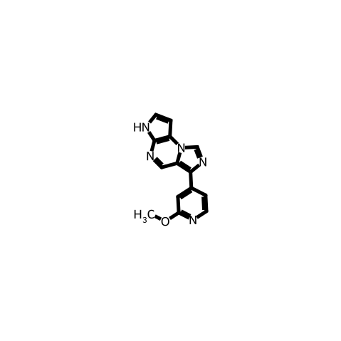 COc1cc(-c2ncn3c2cnc2[nH]ccc23)ccn1